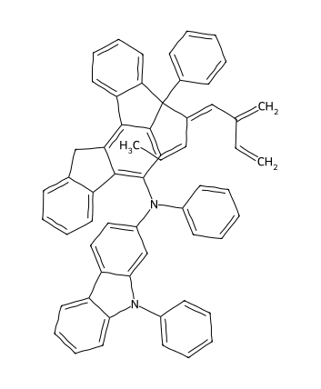 C=CC(=C)/C=C(\C=C/C)C1(c2ccccc2)c2ccccc2-c2c1cc(N(c1ccccc1)c1ccc3c4ccccc4n(-c4ccccc4)c3c1)c1c2Cc2ccccc2-1